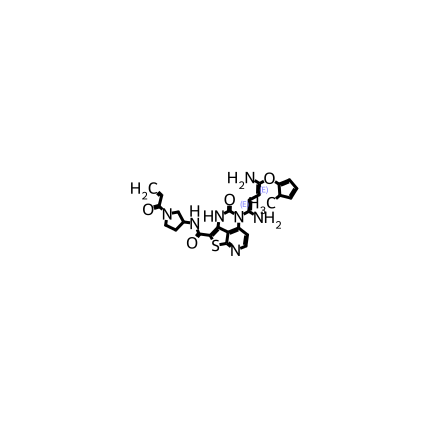 C=CC(=O)N1CCC(NC(=O)c2sc3nccc4c3c2NC(=O)N4/C(N)=C/C=C(\N)OC2=CC=CC2C)C1